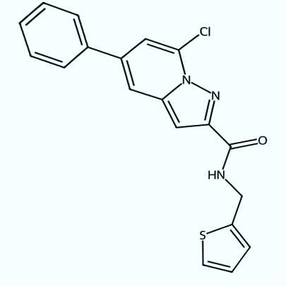 O=C(NCc1cccs1)c1cc2cc(-c3ccccc3)cc(Cl)n2n1